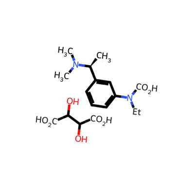 CCN(C(=O)O)c1cccc([C@H](C)N(C)C)c1.O=C(O)C(O)C(O)C(=O)O